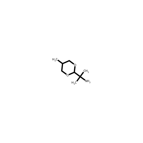 CC1COC(C(C)(C)N)OC1